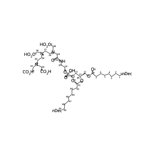 CCCCCCCCCCCCCCCCCC(=O)OC[C@H](COP(=O)(O)OCCNC(=O)CN(CCN(CCN(CC(=O)O)CC(=O)O)CC(=O)O)CC(=O)O)OC(=O)CCCCCCCCCCCCCCCCC